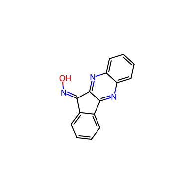 ON=C1c2ccccc2-c2nc3ccccc3nc21